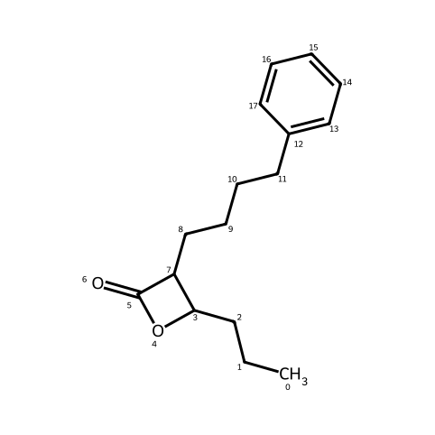 CCCC1OC(=O)C1CCCCc1ccccc1